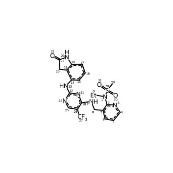 CCN(c1ncccc1CNc1nc(Nc2cccc3c2CC(=O)N3)ncc1C(F)(F)F)S(C)(=O)=O